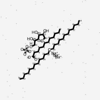 CCCCCCCCCCCC(=O)[O-].CCCCCCCCCCCCOCCCCCCCCCCCC.O=S(=O)([O-])[O-].OC[C@@H](O)[C@H]1OC[C@H](O)[C@H]1O.[Na+].[Na+].[Na+]